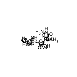 CO[C@H]1[C@@H](O)[C@H](n2c[n+](C)c3c(=O)[nH]c(N)nc32)O[C@@H]1COP(=O)(O)OP(=O)(O)n1ccnc1